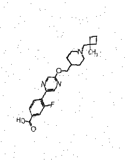 CC1(CN2CCC(COc3cnc(-c4ccc(C(=O)O)cc4F)cn3)CC2)CCC1